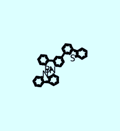 c1ccc2c(c1)B1N(c3ccc(-c4cccc5c4sc4ccccc45)cc3-2)c2cccc3c4ccccc4n1c23